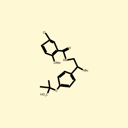 CCCCC(CNC(=O)c1cc(Cl)ccc1OC)c1ccc(OC(C)(C)C(=O)O)cc1